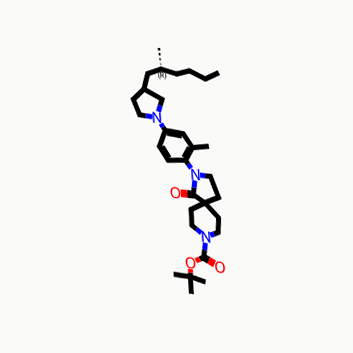 CCCC[C@@H](C)CC1CCN(c2ccc(N3CCC4(CCN(C(=O)OC(C)(C)C)CC4)C3=O)c(C)c2)C1